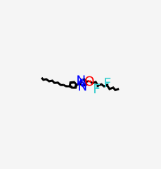 CCCCCCCCCCc1ccc(-c2ncc(OCCC(F)CCC(F)CCCC)cn2)cc1